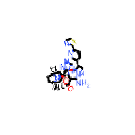 CC(=O)c1c([C@@H]2C[C@H]3CC[C@@H](C2)N3C(=O)c2nnc[nH]2)nc2c(-c3ccc(-c4nccs4)nc3)cnn2c1N